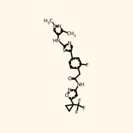 Cc1nn(C)cc1Nc1ncc(-c2ccc(CC(=O)Nc3cc(C4(C(F)(F)F)CC4)on3)c(F)c2)s1